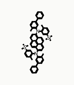 Cc1ccc(-c2ccccc2)cc1N(c1cc([Si](C)(C)C)ccc1C)c1ccc2ccc3c(N(c4cc(-c5ccccc5)ccc4C)c4cc(S(C)(C)C)ccc4C)ccc4ccc1c2c43